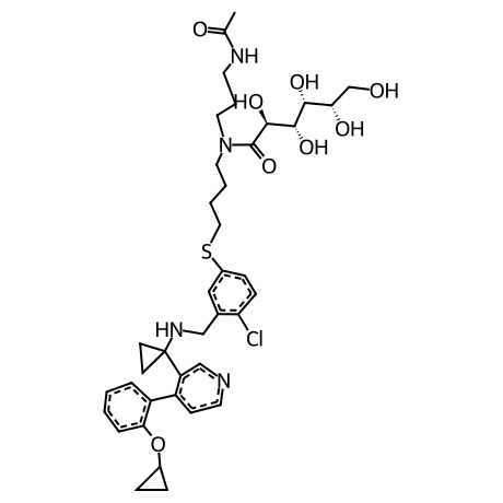 CC(=O)NCCCN(CCCCSc1ccc(Cl)c(CNC2(c3cnccc3-c3ccccc3OC3CC3)CC2)c1)C(=O)[C@@H](O)[C@@H](O)[C@H](O)[C@@H](O)CO